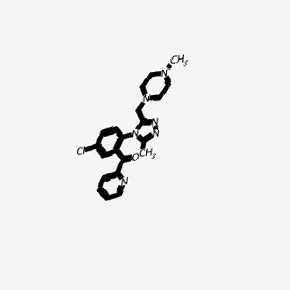 Cc1nnc(CN2CCN(C)CC2)n1-c1ccc(Cl)cc1C(=O)c1ccccn1